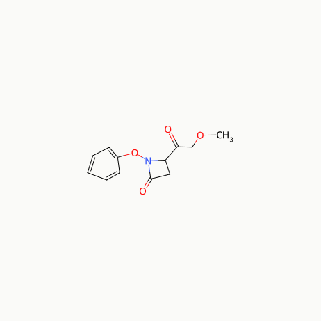 COCC(=O)C1CC(=O)N1Oc1ccccc1